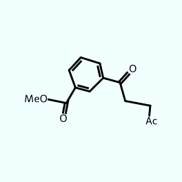 COC(=O)c1cccc(C(=O)CCC(C)=O)c1